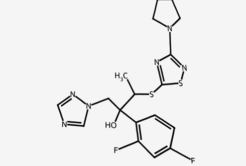 CC(Sc1nc(N2CCCC2)ns1)C(O)(Cn1cncn1)c1ccc(F)cc1F